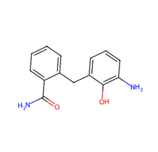 NC(=O)c1ccccc1Cc1cccc(N)c1O